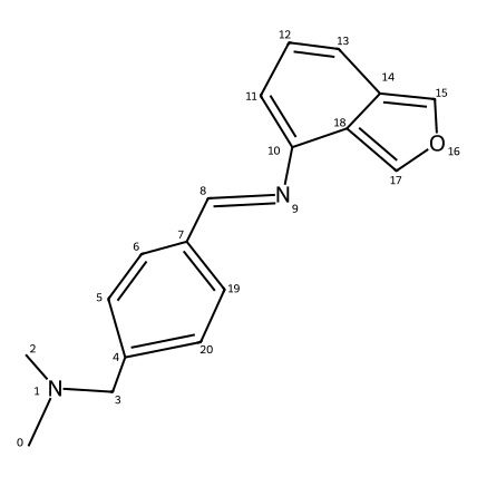 CN(C)Cc1ccc(C=Nc2cccc3cocc23)cc1